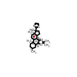 C[C@H]1CC[C@@]2(C)[C@H](C1)[C@H]1OC(C)(C)O[C@@H]1[C@@H]1[C@@H]2CC[C@@]2(C)[C@H]1CC[C@@]2(O)c1nccs1